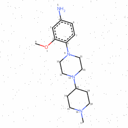 COc1cc(N)ccc1N1CCN(C2CCN(C)CC2)CC1